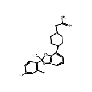 CC1(c2ccc(Cl)cc2F)Oc2cccc(C3CCN(CC(=N)N)CC3)c2O1